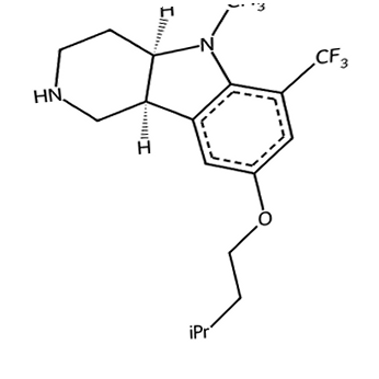 CC(C)CCOc1cc2c(c(C(F)(F)F)c1)N(C)[C@@H]1CCNC[C@H]21